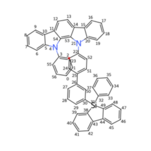 c1ccc(-n2c3ccccc3c3ccc4c5ccccc5n(-c5ccc(-c6cccc([Si]7(c8ccccc8)c8ccccc8-c8ccccc87)c6)cc5)c4c32)cc1